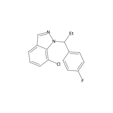 [CH2]CC(c1ccc(F)cc1)n1ncc2cccc(Cl)c21